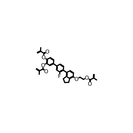 C=C(C)C(=O)OCCOc1ccc(-c2ccc(-c3ccc(OC(=O)C(=C)C)c(OC(=O)C(=C)C)c3)cc2F)c2c1CCC2